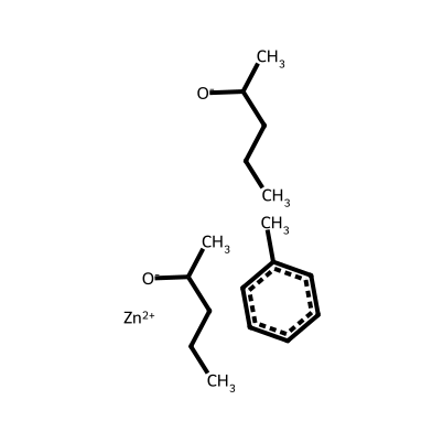 CCCC(C)[O-].CCCC(C)[O-].Cc1ccccc1.[Zn+2]